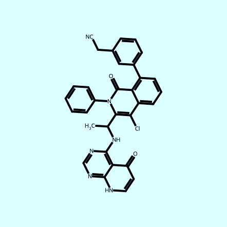 CC(Nc1ncnc2[nH]ccc(=O)c12)c1c(Cl)c2cccc(-c3cccc(CC#N)c3)c2c(=O)n1-c1ccccc1